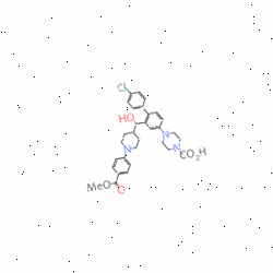 COC(=O)c1ccc(N2CCC(C(O)c3cc(N4CCN(C(=O)O)CC4)ccc3-c3ccc(Cl)cc3)CC2)cc1